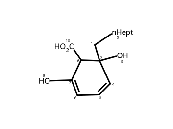 CCCCCCCCC1(O)C=CC=C(O)C1C(=O)O